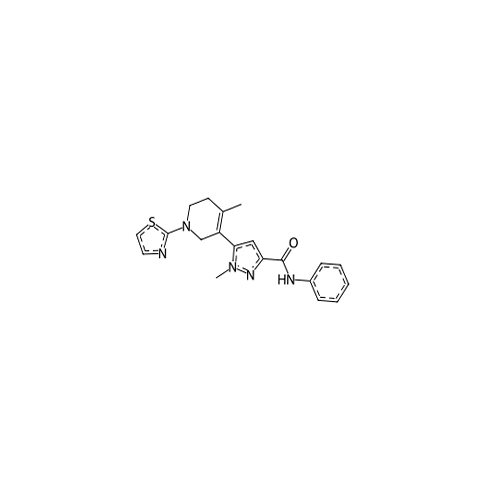 CC1=C(c2cc(C(=O)Nc3ccccc3)nn2C)CN(c2nccs2)CC1